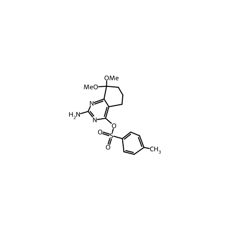 COC1(OC)CCCc2c(OS(=O)(=O)c3ccc(C)cc3)nc(N)nc21